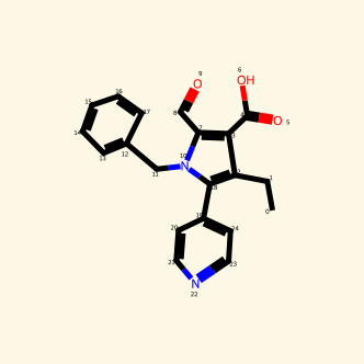 CCc1c(C(=O)O)c(C=O)n(Cc2ccccc2)c1-c1ccncc1